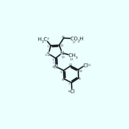 Cc1s/c(=N/c2cc(Cl)cc(Cl)c2)n(C)c1CC(=O)O